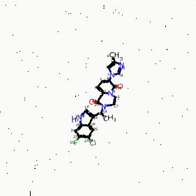 Cc1cn(-c2ccc3n(c2=O)CCN(C(C)c2c[nH]c4cc(F)c(Cl)cc24)C3=O)cn1